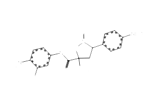 CC(=O)Nc1ccc(C2CC(C)(C(=O)Nc3ccc([N+](=O)[O-])c(C(F)(F)F)c3)ON2C)cc1